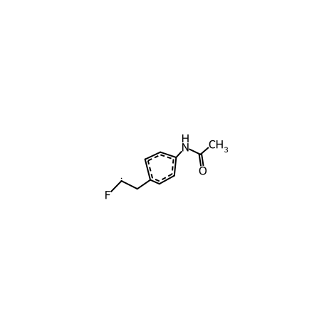 CC(=O)Nc1ccc(C[CH]F)cc1